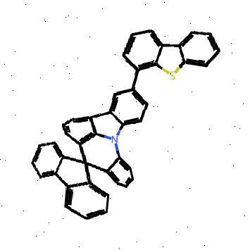 c1ccc2c(c1)-c1ccccc1C21c2ccccc2-n2c3ccc(-c4cccc5c4sc4ccccc45)cc3c3cccc1c32